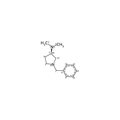 CN(C)[C@@H]1CCN(Cc2ccccc2)C1